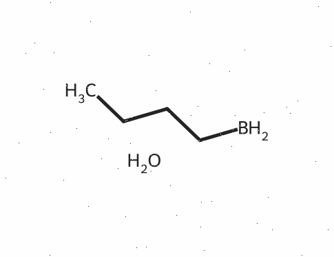 BCCCC.O